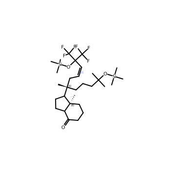 CC(C)(CCC[C@@](C)(C/C=C\C(O[Si](C)(C)C)(C(F)(F)F)C(F)(F)F)C1CCC2C(=O)CCC[C@@]21C)O[Si](C)(C)C